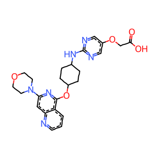 O=C(O)COc1cnc(NC2CCC(Oc3nc(N4CCOCC4)cc4ncccc34)CC2)nc1